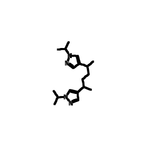 CC(CCC(C)c1cnn(C(C)C)c1)c1cnn(C(C)C)c1